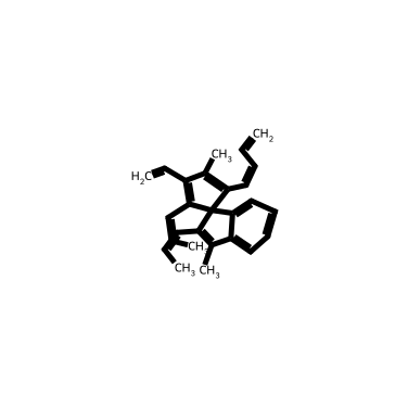 C=C/C=C\C1=C(C)C(C=C)=C(/C=C\C)C12C(/C=C\C)=C(C)c1ccccc12